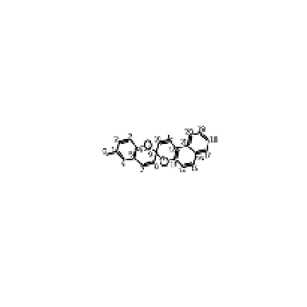 Cc1ccc2c(c1)C=CC1(C=Cc3c(ccc4ccccc34)O1)O2